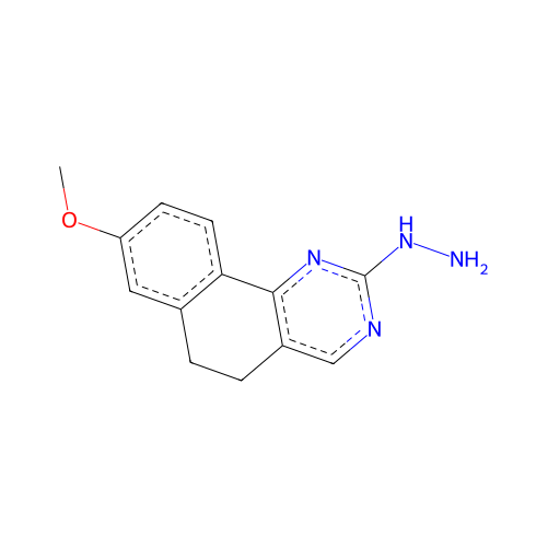 COc1ccc2c(c1)CCc1cnc(NN)nc1-2